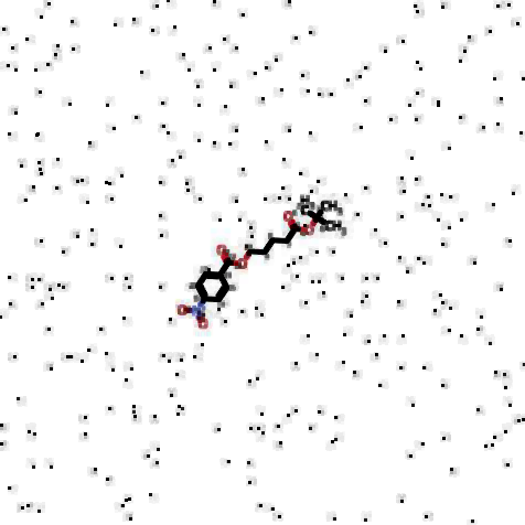 CC(C)(C)OC(=O)CCCCOC(=O)c1ccc([N+](=O)[O-])cc1